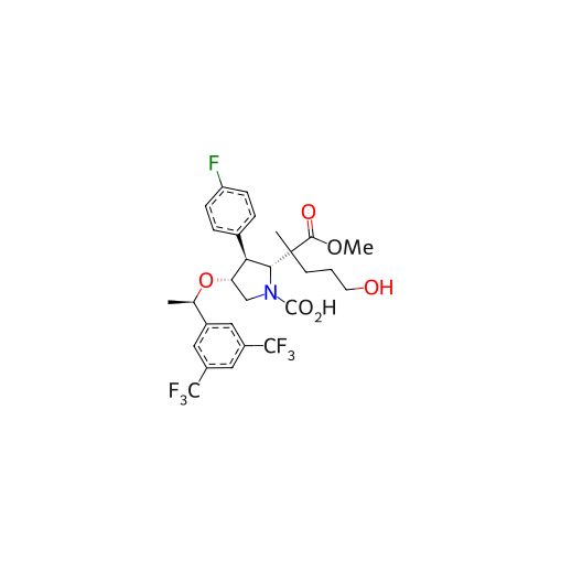 COC(=O)C(C)(CCCO)[C@H]1[C@H](c2ccc(F)cc2)[C@@H](O[C@H](C)c2cc(C(F)(F)F)cc(C(F)(F)F)c2)CN1C(=O)O